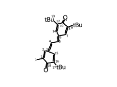 CC1=C/C(=C/C=C2C=C(C(C)(C)C)C(=O)C(C(C)(C)C)=C2)C=C(C(C)(C)C)C1=O